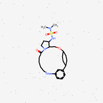 CN(C)S(=O)(=O)NC1CCN2C(=O)CCCCNc3cccc(c3)C3CCC(CC3)OCC12